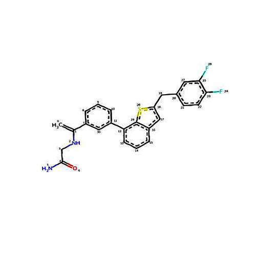 C=C(NCC(N)=O)c1cccc(-c2cccc3cc(Cc4ccc(F)c(F)c4)sc23)c1